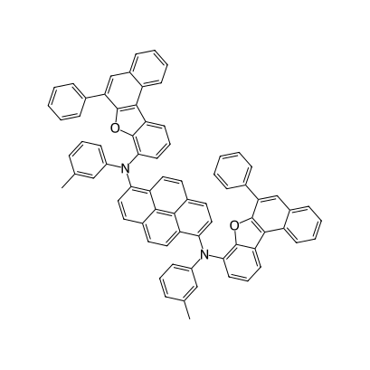 Cc1cccc(N(c2ccc3ccc4c(N(c5cccc(C)c5)c5cccc6c5oc5c(-c7ccccc7)cc7ccccc7c56)ccc5ccc2c3c54)c2cccc3c2oc2c(-c4ccccc4)cc4ccccc4c23)c1